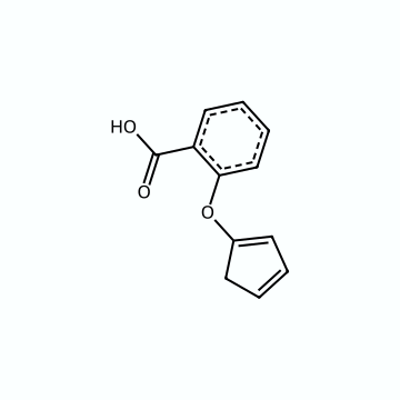 O=C(O)c1ccccc1OC1=CC=CC1